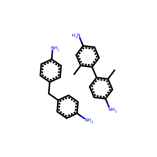 Cc1cc(N)ccc1-c1ccc(N)cc1C.Nc1ccc(Cc2ccc(N)cc2)cc1